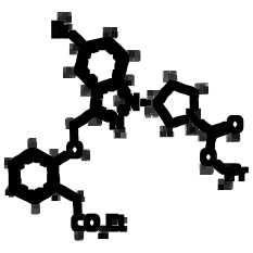 CCOC(=O)Cc1ccccc1OCc1nn([C@@H]2CCN(C(=O)OC(C)C)C2)c2ccc(Br)cc12